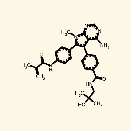 C=C(C)C(=O)Nc1ccc(-c2c(-c3ccc(C(=O)NCC(C)(C)O)cc3)c3c(N)ncnc3n2C)cc1